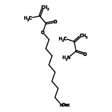 C=C(C)C(=O)OCCCCCCCCCCCCCCCCCC.C=C(C)C(N)=O